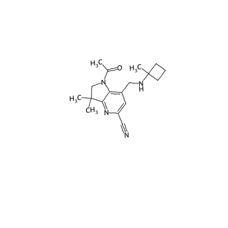 CC(=O)N1CC(C)(C)c2nc(C#N)cc(CNC3(C)CCC3)c21